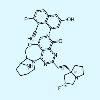 C#Cc1c(F)ccc2cc(O)cc(-n3cc4c5c(nc(/C=C/[C@@]67CCCN6C[C@H](F)C7)nc5c3=O)N3CC5CCC(N5)C3CO4)c12